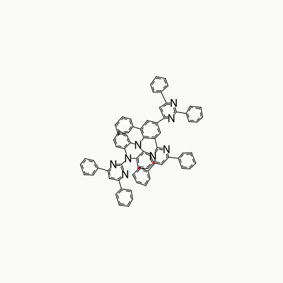 c1ccc(-c2cc(-c3cc(-c4ccccc4)c(N4c5ccccc5N(c5nc(-c6ccccc6)cc(-c6ccccc6)n5)c5ccccc54)c(-c4nc(-c5ccccc5)cc(-c5ccccc5)n4)c3)nc(-c3ccccc3)n2)cc1